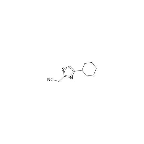 N#CCc1nc(C2CCCCC2)cs1